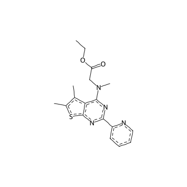 CCOC(=O)CN(C)c1nc(-c2ccccn2)nc2sc(C)c(C)c12